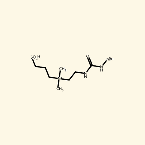 CCCCNC(=O)NCC[N+](C)(C)CCCS(=O)(=O)O